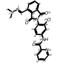 CN(C)/N=C/c1cccc2c1C(=O)N(c1ccc(NC(=O)c3ccccn3)cc1Cl)C2=O